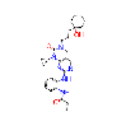 C=CC(=O)Nc1ccccc1Nc1ncc2c(n1)N(C1CC1)C(=O)N(CCCC1(O)CCCCC1)C2